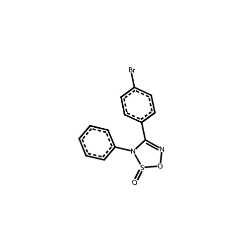 O=S1ON=C(c2ccc(Br)cc2)N1c1ccccc1